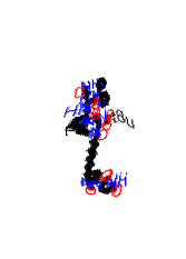 Cn1c(=O)n(C2CCC(=O)NC2=O)c2ccc(CCCCCCCC(=O)N3CC[C@H]4CC[C@@H](C(=O)N[C@@H](CCC(N)=O)C(=O)NC(c5ccccc5)c5ccccc5)N4C(=O)[C@@H](NC(=O)OC(C)(C)C)C3)cc21